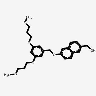 COCCCOc1cc(COc2ccc3cc(CO)ccc3c2)cc(OCCCOC)c1